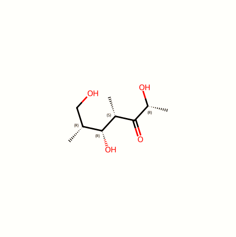 C[C@H](CO)[C@@H](O)[C@H](C)C(=O)[C@@H](C)O